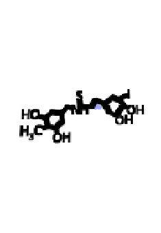 Cc1c(O)cc(CNC(=S)/C=C/c2cc(O)c(O)c(I)c2)cc1O